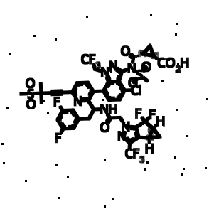 CC(C)(C#Cc1ccc(-c2ccc(Cl)c3c(N(C(=O)[C@@H]4C[C@H]4C(=O)O)S(C)(=O)=O)nn(CC(F)(F)F)c23)c(C(Cc2cc(F)cc(F)c2)NC(=O)Cn2nc(C(F)(F)F)c3c2C(F)(F)[C@@H]2C[C@H]32)n1)S(C)(=O)=O